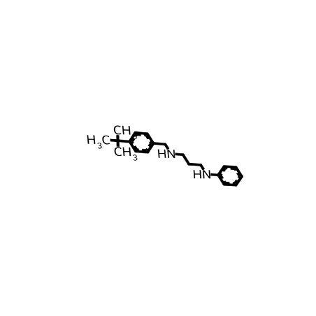 CC(C)(C)c1ccc(CNCCCNc2ccccc2)cc1